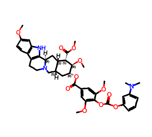 COC(=O)[C@H]1[C@H]2C[C@@H]3c4[nH]c5cc(OC)ccc5c4CCN3C[C@H]2C[C@@H](OC(=O)c2cc(OC)c(OC(=O)Oc3cccc(N(C)C)c3)c(OC)c2)[C@@H]1OC